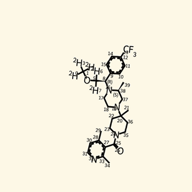 [2H]C([2H])([2H])OC([2H])([2H])[C@@H](c1ccc(C(F)(F)F)cc1)N1CCN(C2(C)CCN(C(=O)c3c(C)ccnc3C)CC2)C[C@@H]1C